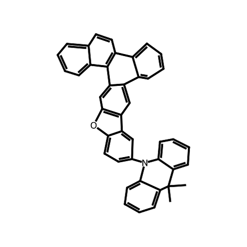 CC1(C)c2ccccc2N(c2ccc3oc4cc5c(cc4c3c2)c2ccccc2c2ccc3ccccc3c25)c2ccccc21